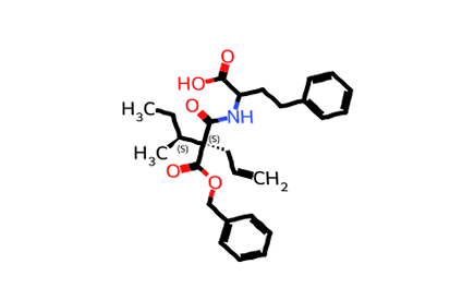 C=CC[C@](C(=O)NC(CCc1ccccc1)C(=O)O)(C(=O)OCc1ccccc1)[C@@H](C)CC